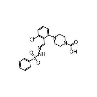 O=C(O)N1CCN(c2cccc(Cl)c2C=NNS(=O)(=O)c2ccccc2)CC1